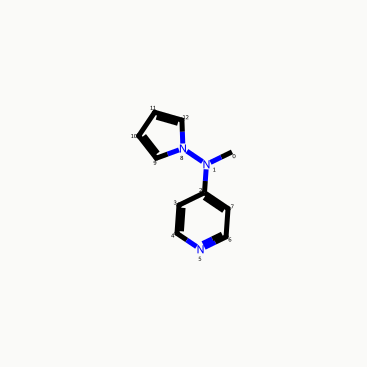 CN(c1ccncc1)n1cccc1